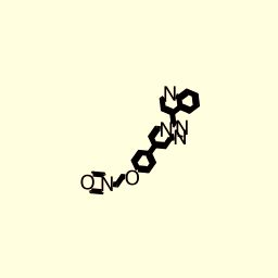 c1ccc2c(-c3nnc4cc(-c5ccc(OCCN6CCOCC6)cc5)ccn34)ccnc2c1